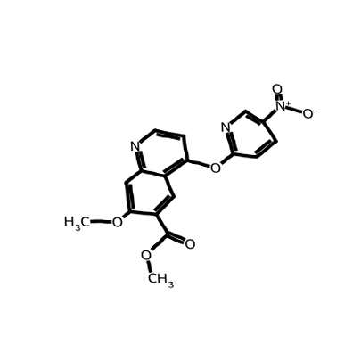 COC(=O)c1cc2c(Oc3ccc([N+](=O)[O-])cn3)ccnc2cc1OC